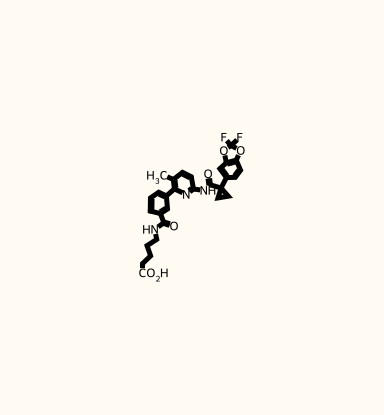 Cc1ccc(NC(=O)C2(c3ccc4c(c3)OC(F)(F)O4)CC2)nc1-c1cccc(C(=O)NCCCCC(=O)O)c1